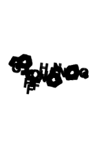 COc1ccc(-n2ncc3c(NCC(O)(CC(C)(C)c4cccc5c4OCC5)C(F)(F)F)cccc32)cc1